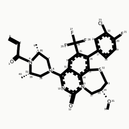 C=CC(=O)N1[C@H](C)CN(c2nc(=O)n3c4c(c(-c5ccc(F)c(Cl)c5)c(C(F)(F)F)cc24)SC[C@H](OC)C3)C[C@@H]1C